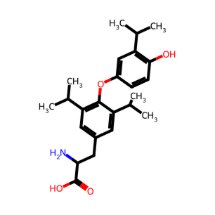 CC(C)c1cc(Oc2c(C(C)C)cc(CC(N)C(=O)O)cc2C(C)C)ccc1O